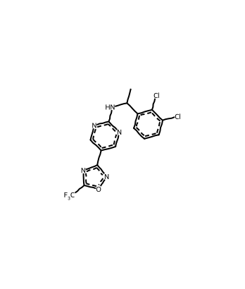 CC(Nc1ncc(-c2noc(C(F)(F)F)n2)cn1)c1cccc(Cl)c1Cl